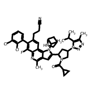 Cc1nnn(C2CC(c3cc4c(C)nc5c(F)c(-c6cccc(Cl)c6Cl)c(CCC#N)cc5c4n3C3C4CNC3C4)N(C(=O)C3CC3)C2)c1C(C)C